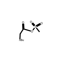 CCCCCC(=O)OS(C)(=O)=O